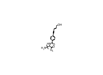 COC(=O)C(NC(=O)c1ccc(C#C/C=C/CO)cc1)C(C)(C)N